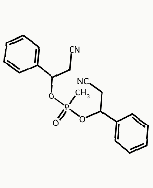 CP(=O)(OC(CC#N)c1ccccc1)OC(CC#N)c1ccccc1